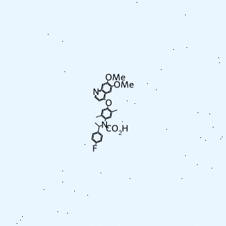 COc1cc2nccc(Oc3cc(C)c(N(C(=O)O)C(C)c4ccc(F)cc4)cc3C)c2cc1OC